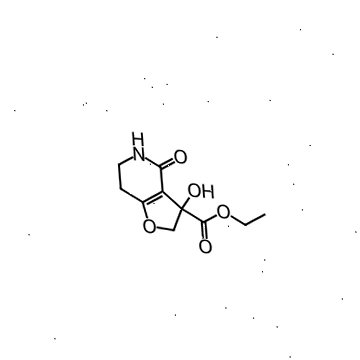 CCOC(=O)C1(O)COC2=C1C(=O)NCC2